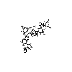 CCCN(CCC)C(=O)c1cc(C)cc(C(=O)N[C@@H](Cc2cc(F)cc(F)c2)[C@H](O)CNCc2cccc(-c3ccsc3C=O)c2)c1